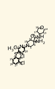 Cc1nc(N2CCC(N)(C(=O)NC3CCOCC3)CC2)cnc1Sc1cccc(Cl)c1Cl